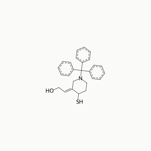 OCC=C1CN(C(c2ccccc2)(c2ccccc2)c2ccccc2)CCC1S